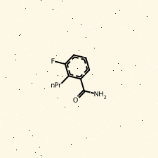 CCCc1c(F)cccc1C(N)=O